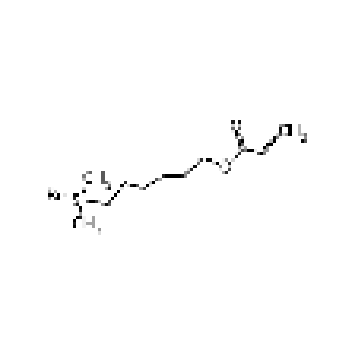 C=CC(=O)OCCCCCC[Si](C)(C)Br